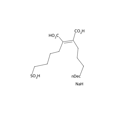 CCCCCCCCCCCCC/C(C(=O)O)=C(\CCCCS(=O)(=O)O)C(=O)O.[NaH]